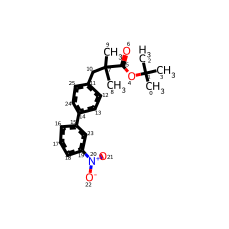 CC(C)(C)OC(=O)C(C)(C)Cc1ccc(-c2cccc([N+](=O)[O-])c2)cc1